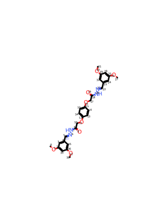 COc1cc(/C=N/NC(=O)COc2ccc(OCC(=O)N/N=C/c3cc(OC)cc(OC)c3)cc2)cc(OC)c1